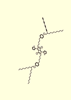 C#CC#CC#CC#CC(CCCCCCCCCC)COc1ccc(CCCCCN2C(=O)C3=C(c4cccs4)N(CCCCCc4ccc(OCC(CCCCCCCC)CCCCCCCCCC)cc4)C(=O)C3=C2c2cccs2)cc1